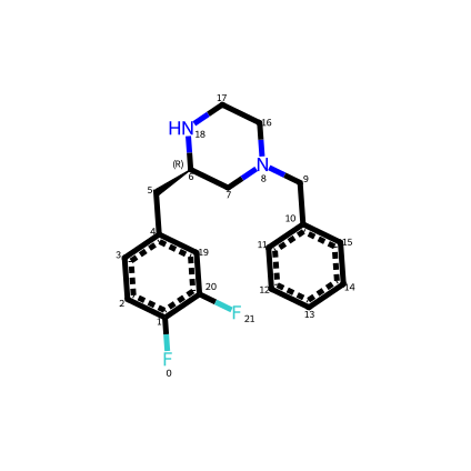 Fc1ccc(C[C@@H]2CN(Cc3ccccc3)CCN2)cc1F